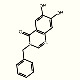 O=c1c2cc(O)c(O)cc2ncn1Cc1ccccc1